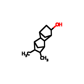 CC1C(C)C2CC1C1C3CC(O)C(C3)C21